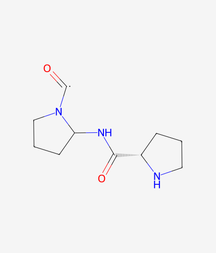 O=[C]N1CCCC1NC(=O)[C@@H]1CCCN1